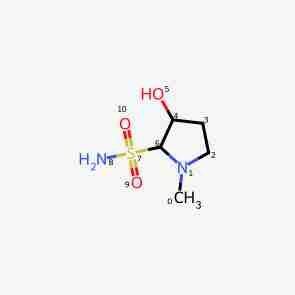 CN1CCC(O)C1S(N)(=O)=O